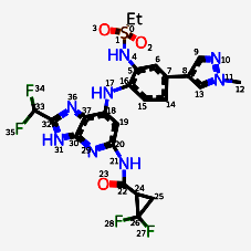 CCS(=O)(=O)Nc1cc(-c2cnn(C)c2)ccc1Nc1cc(NC(=O)C2CC2(F)F)nc2[nH]c(C(F)F)nc12